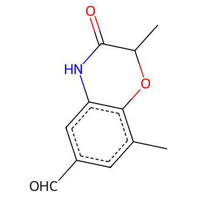 Cc1cc(C=O)cc2c1OC(C)C(=O)N2